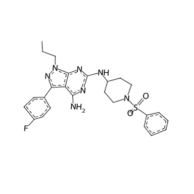 CCCn1nc(-c2ccc(F)cc2)c2c(N)nc(NC3CCN(S(=O)(=O)c4ccccc4)CC3)nc21